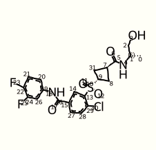 C[C@@H](CO)NC(=O)[C@H]1C[C@H](S(=O)(=O)c2cc(C(=O)Nc3ccc(F)c(F)c3)ccc2Cl)C1